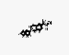 O=C(NO)c1cc(F)c2c(c1)CCN([C@H]1CCC3(CCC3)C1)C2